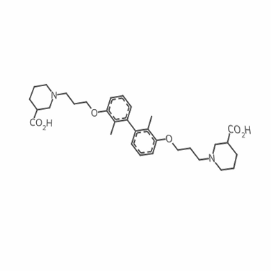 Cc1c(OCCCN2CCCC(C(=O)O)C2)cccc1-c1cccc(OCCCN2CCCC(C(=O)O)C2)c1C